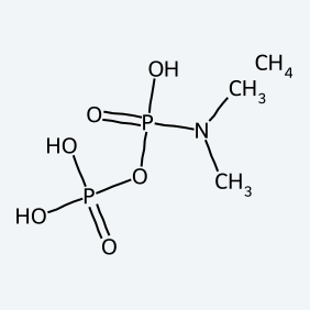 C.CN(C)P(=O)(O)OP(=O)(O)O